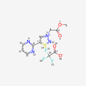 COC(=O)C[n+]1cc(-c2ncccn2)sn1.O=C([O-])C(F)(F)F